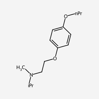 CCCOc1ccc(OCCN(C)C(C)C)cc1